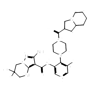 CCCC1(F)CNc2c(C(=O)Nc3cncc(F)c3N3CCN(C(=O)C4CC5CCCCN5C4)CC3)c(N)nn2C1